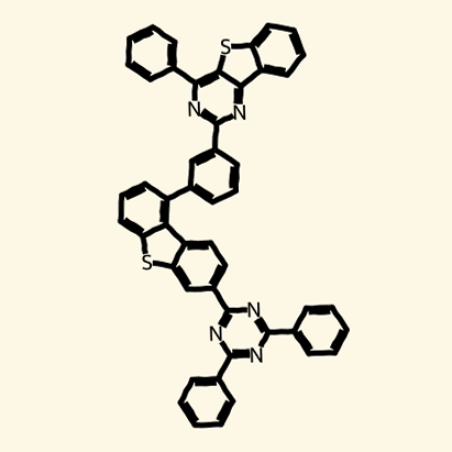 c1ccc(-c2nc(-c3ccccc3)nc(-c3ccc4c(c3)sc3cccc(-c5cccc(-c6nc(-c7ccccc7)c7sc8ccccc8c7n6)c5)c34)n2)cc1